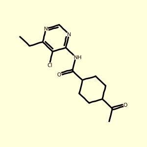 CCc1ncnc(NC(=O)C2CCC(C(C)=O)CC2)c1Cl